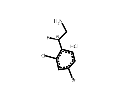 Cl.NC[C@H](F)c1ccc(Br)cc1Cl